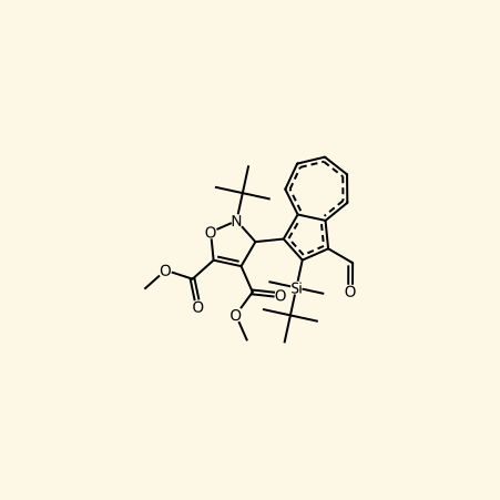 COC(=O)C1=C(C(=O)OC)C(c2c3cccccc-3c(C=O)c2[Si](C)(C)C(C)(C)C)N(C(C)(C)C)O1